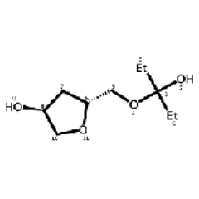 CCC(O)(CC)OC[C@H]1C[C@H](O)CO1